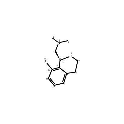 CN(C)C[C@H]1OCCc2cccc(F)c21